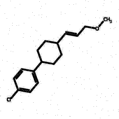 COC/C=C/C1CCC(c2ccc(Cl)cc2)CC1